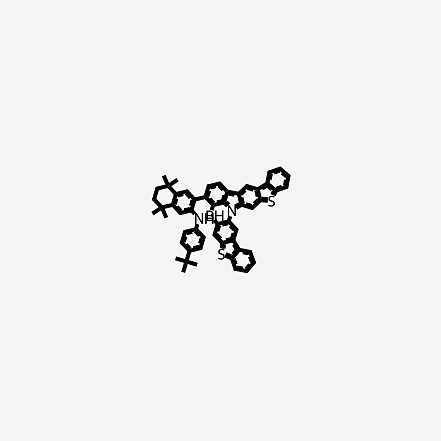 CC(C)(C)c1ccc(Nc2cc3c(cc2-c2ccc4c5cc6c(cc5n5c4c2Bc2cc4sc7ccccc7c4cc2-5)sc2ccccc26)C(C)(C)CCC3(C)C)cc1